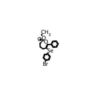 CCOP1(=O)CCCC([Se]c2ccc(Br)cc2)=C(c2ccccc2)O1